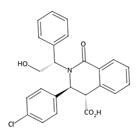 O=C(O)[C@H]1c2ccccc2C(=O)N([C@H](CO)c2ccccc2)[C@@H]1c1ccc(Cl)cc1